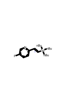 CCC[CH2][Sn](/[CH]=C/c1ccc(F)cn1)([CH2]CCC)[CH2]CCC